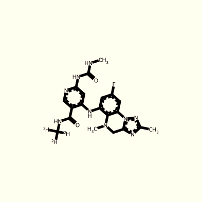 [2H]C([2H])([2H])NC(=O)c1cnc(NC(=O)NC)cc1Nc1cc(F)cc2c1N(C)Cc1nc(C)nn1-2